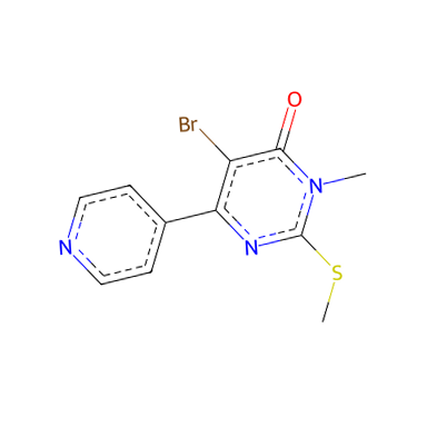 CSc1nc(-c2ccncc2)c(Br)c(=O)n1C